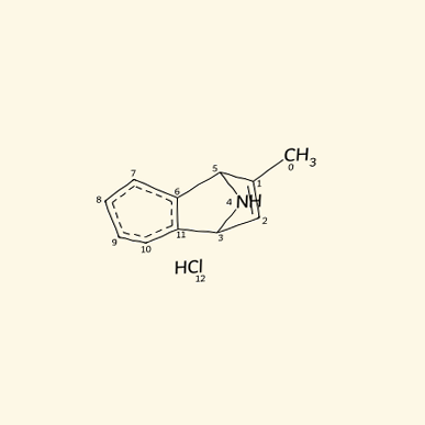 CC1=CC2NC1c1ccccc12.Cl